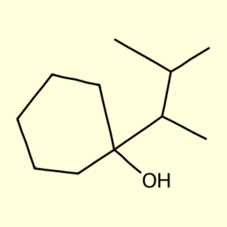 CC(C)C(C)C1(O)CCCCC1